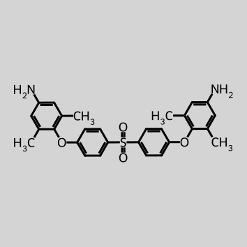 Cc1cc(N)cc(C)c1Oc1ccc(S(=O)(=O)c2ccc(Oc3c(C)cc(N)cc3C)cc2)cc1